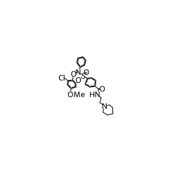 COc1ccc(ON(c2ccccc2)S(=O)(=O)c2ccc(C(=O)NCCN3CCCCC3)cc2)c(Cl)c1